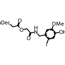 CCCCCCCCCCCC(=O)OCC(=O)NCc1cc(OC)c(O)cc1I